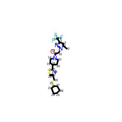 Cc1cc(C(F)(F)F)nn1CC(=O)N1CCC(c2nc(CSC3CCCCC3)cs2)CC1